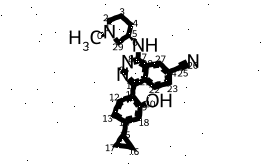 CN1CCC[C@@H](Nc2nnc(-c3ccc(C4CC4)cc3O)c3ccc(C#N)cc23)C1